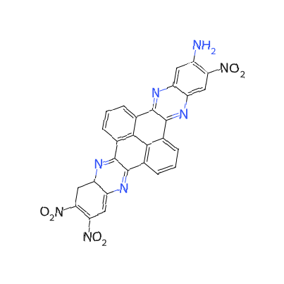 Nc1cc2nc3c4cccc5c6c(c7cccc(c3nc2cc1[N+](=O)[O-])c7c54)=NC1=CC([N+](=O)[O-])=C([N+](=O)[O-])CC1N=6